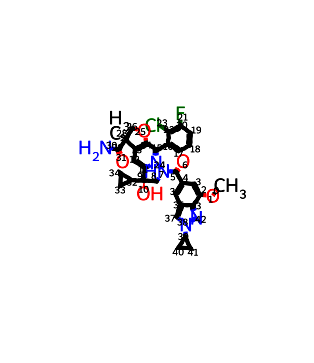 COc1cc(C(=O)NC[C@](O)(c2cc3c(c(-c4cccc(F)c4Cl)n2)OC[C@]3(C)C(N)=O)C2CC2)cc2cn(C3CC3)nc12